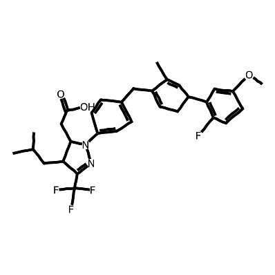 COc1ccc(F)c(C2C=C(C)C(Cc3ccc(N4N=C(C(F)(F)F)C(CC(C)C)C4CC(=O)O)cc3)=CC2)c1